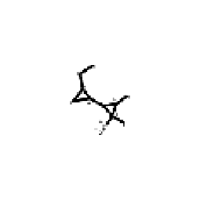 CCC1CC1C1C(C)C1(C)P